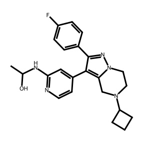 CC(O)Nc1cc(-c2c(-c3ccc(F)cc3)nn3c2CN(C2CCC2)CC3)ccn1